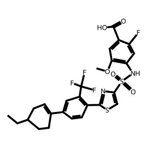 CCC1CC=C(c2ccc(-c3nc(S(=O)(=O)Nc4cc(F)c(C(=O)O)cc4OC)cs3)c(C(F)(F)F)c2)CC1